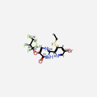 CCSc1cc(Br)cnc1-c1ncc(OC(F)(F)C(F)C(F)F)c(=O)[nH]1